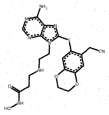 N#CCc1cc2c(cc1Sc1nc3c(N)ncnc3n1CCNCCC(=O)NO)OCCO2